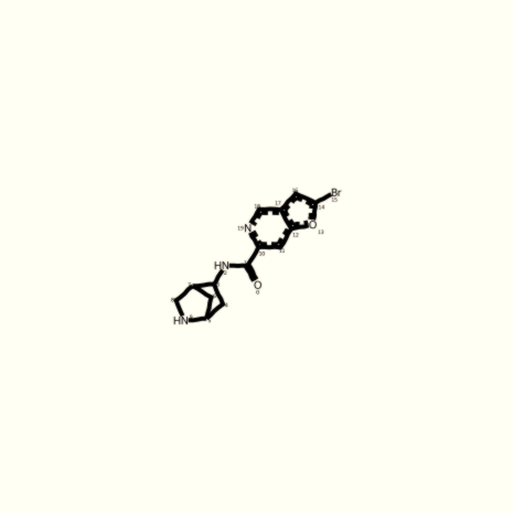 O=C(NC1CC2CC1CN2)c1cc2oc(Br)cc2cn1